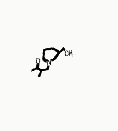 CC(=O)C(C)CN1CCCC(CO)C1